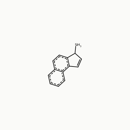 [SiH3]C1C=Cc2c1ccc1ccccc21